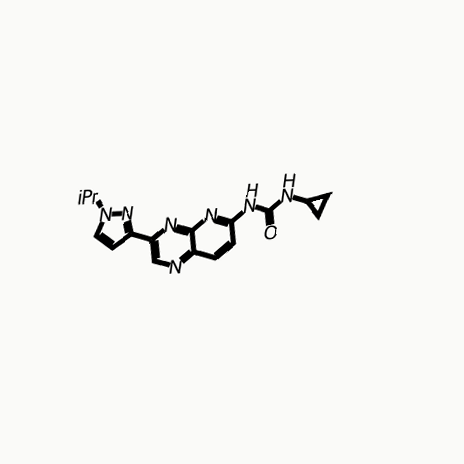 CC(C)n1ccc(-c2cnc3ccc(NC(=O)NC4CC4)nc3n2)n1